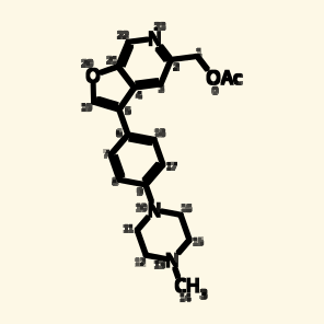 CC(=O)OCc1cc2c(-c3ccc(N4CCN(C)CC4)cc3)coc2cn1